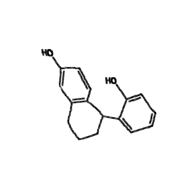 Oc1ccc2c(c1)CCCC2c1ccccc1O